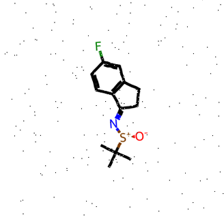 CC(C)(C)[S@+]([O-])N=C1CCc2cc(F)ccc21